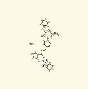 CN(CC(CCN1CCC(N(CC(N)=O)C(=O)OCc2ccccc2)CC1)c1ccsc1)S(=O)(=O)c1ccccc1.Cl